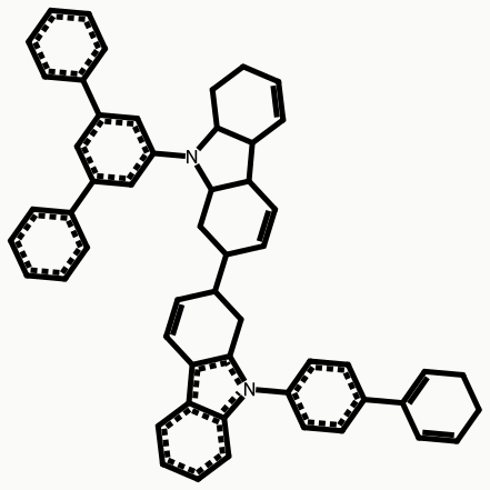 C1=CC(c2ccc(-n3c4c(c5ccccc53)C=CC(C3C=CC5C6C=CCCC6N(c6cc(-c7ccccc7)cc(-c7ccccc7)c6)C5C3)C4)cc2)=CCC1